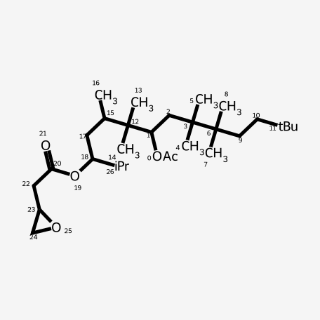 CC(=O)OC(CC(C)(C)C(C)(C)CCC(C)(C)C)C(C)(C)C(C)CC(OC(=O)CC1CO1)C(C)C